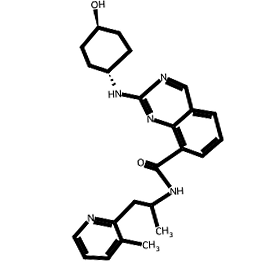 Cc1cccnc1CC(C)NC(=O)c1cccc2cnc(N[C@H]3CC[C@H](O)CC3)nc12